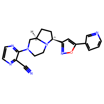 N#Cc1nccnc1N1CCN2[C@H](CC[C@H]2c2cc(-c3cccnc3)on2)C1